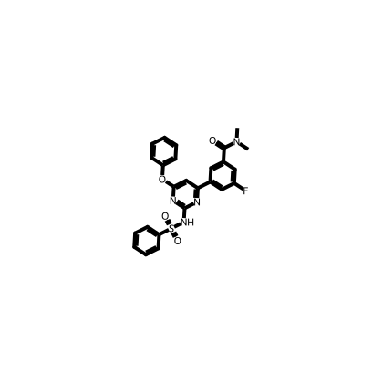 CN(C)C(=O)c1cc(F)cc(-c2cc(Oc3ccccc3)nc(NS(=O)(=O)c3ccccc3)n2)c1